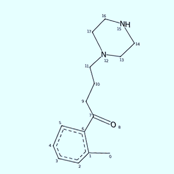 Cc1ccccc1C(=O)CCCN1CCNCC1